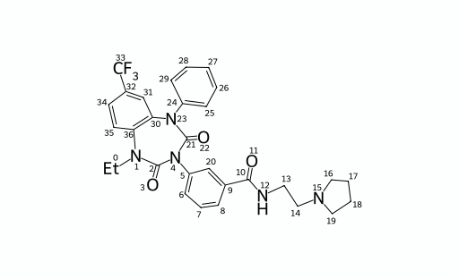 CCN1C(=O)N(c2cccc(C(=O)NCCN3CCCC3)c2)C(=O)N(c2ccccc2)c2cc(C(F)(F)F)ccc21